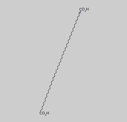 O=C(O)/C=C/CCCCCCCCCCCCCCCCCCCCCCCCCCCCCCCCCCCCCCCCCCCCCCCCCCC(=O)O